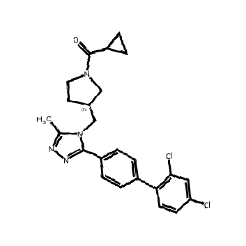 Cc1nnc(-c2ccc(-c3ccc(Cl)cc3Cl)cc2)n1C[C@H]1CCN(C(=O)C2CC2)C1